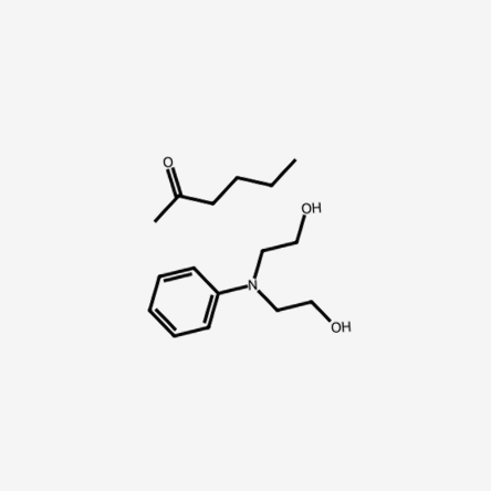 CCCCC(C)=O.OCCN(CCO)c1ccccc1